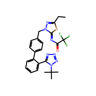 CCc1nn(Cc2ccc(-c3ccccc3-c3nnnn3C(C)(C)C)cc2)c(=NC(=O)C(F)(F)F)s1